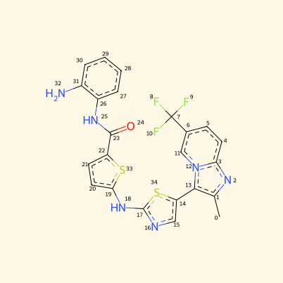 Cc1nc2ccc(C(F)(F)F)cn2c1-c1cnc(Nc2ccc(C(=O)Nc3ccccc3N)s2)s1